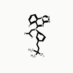 CC(C)(CCc1cccc(N(CC(F)F)c2nc3nncn3c3cccc(F)c23)c1)C(F)(F)F